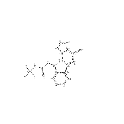 CC(C)(C)OC(=O)CC1c2ccccc2-c2[nH]c(=O)c3nccn3c21